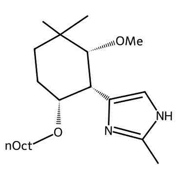 CCCCCCCCO[C@@H]1CCC(C)(C)[C@H](OC)[C@@H]1c1c[nH]c(C)n1